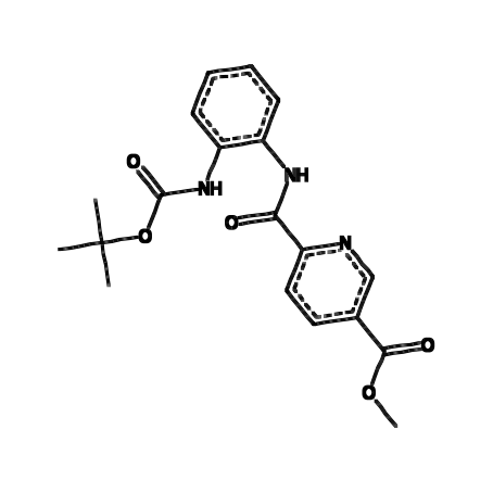 COC(=O)c1ccc(C(=O)Nc2ccccc2NC(=O)OC(C)(C)C)nc1